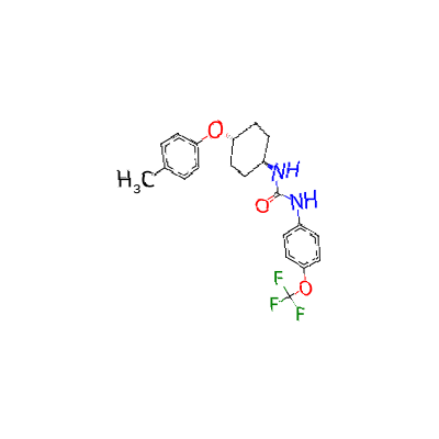 Cc1ccc(O[C@H]2CC[C@H](NC(=O)Nc3ccc(OC(F)(F)F)cc3)CC2)cc1